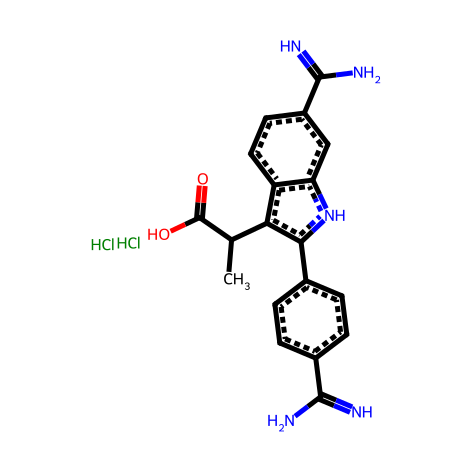 CC(C(=O)O)c1c(-c2ccc(C(=N)N)cc2)[nH]c2cc(C(=N)N)ccc12.Cl.Cl